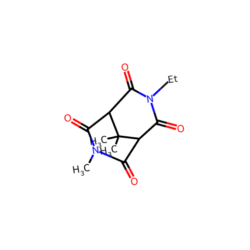 CCN1C(=O)C2C(=O)N(C)C(=O)C(C1=O)C2(C)C